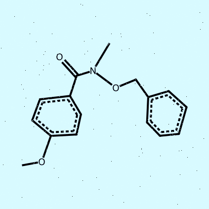 COc1ccc(C(=O)N(C)OCc2ccccc2)cc1